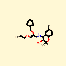 CC1(C)Oc2ccc([N+](=O)[O-])cc2C(NC/C(=C/OCCC=O)OCc2ccccc2)C1O